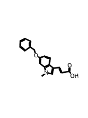 Cn1cc(/C=C/C(=O)O)c2ccc(OCc3ccccc3)cc21